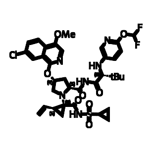 C=C[C@@H]1C[C@@]1(C(=O)NS(=O)(=O)C1CC1)N1C[C@H](Oc2ncc(OC)c3ccc(Cl)cc23)C[C@H]1C(=O)NC(=O)[C@H](Nc1ccc(OC(F)F)nc1)C(C)(C)C